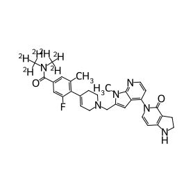 [2H]C([2H])([2H])N(C(=O)c1cc(C)c(C2=CCN(Cc3cc4c(-n5ccc6c(c5=O)CCN6)ccnc4n3C)CC2)c(F)c1)C([2H])([2H])[2H]